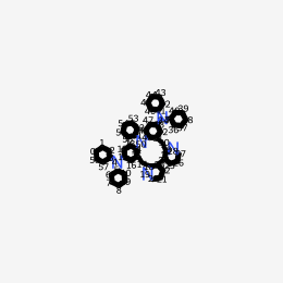 c1ccc(N(c2ccccc2)c2ccc3c(c2)Cc2ncccc2-c2cccnc2Cc2cc(N(c4ccccc4)c4ccccc4)ccc2N3c2ccccc2)cc1